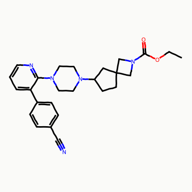 CCOC(=O)N1CC2(CCC(N3CCN(c4ncccc4-c4ccc(C#N)cc4)CC3)C2)C1